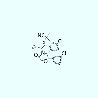 CC(C)(C#N)SCC(C1CC1)N1C(=O)CO[C@H](c2cccc(Cl)c2)[C@H]1c1ccc(Cl)cc1